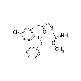 COC(=N)c1ccc(Cc2cc(Cl)ccc2OCc2ccccc2)o1